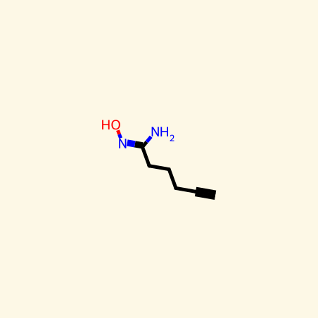 C#CCCC/C(N)=N/O